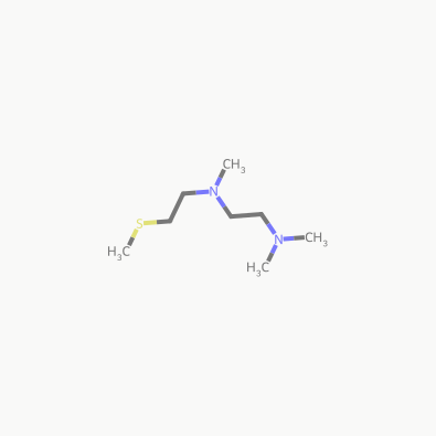 CSCCN(C)CCN(C)C